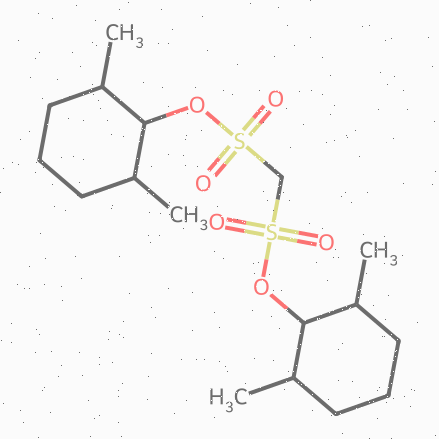 CC1CCCC(C)C1OS(=O)(=O)CS(=O)(=O)OC1C(C)CCCC1C